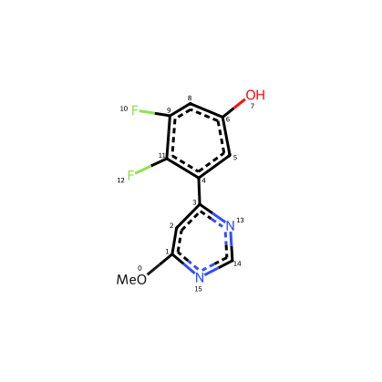 COc1cc(-c2cc(O)cc(F)c2F)ncn1